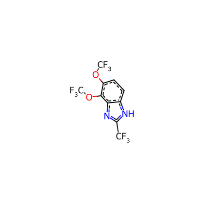 FC(F)(F)Oc1ccc2[nH]c(C(F)(F)F)nc2c1OC(F)(F)F